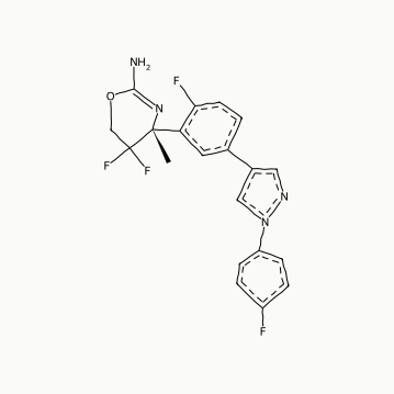 C[C@]1(c2cc(-c3cnn(-c4ccc(F)cc4)c3)ccc2F)N=C(N)OCC1(F)F